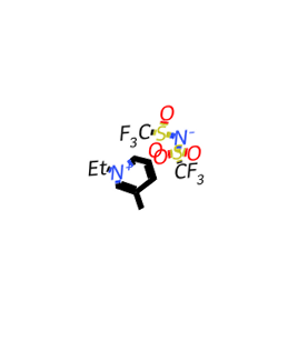 CC[n+]1cccc(C)c1.O=S(=O)([N-]S(=O)(=O)C(F)(F)F)C(F)(F)F